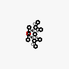 c1ccc2c(c1)oc1cc3c4c(c5ccccc5n4-c4cc5c(cc4B3n3c4ccccc4c4ccccc43)B(n3c4ccccc4c4ccccc43)c3cc4oc6ccccc6c4c4c6ccccc6n-5c34)c12